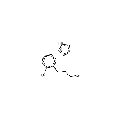 Cc1ccccc1CCCO.c1c[nH]nn1